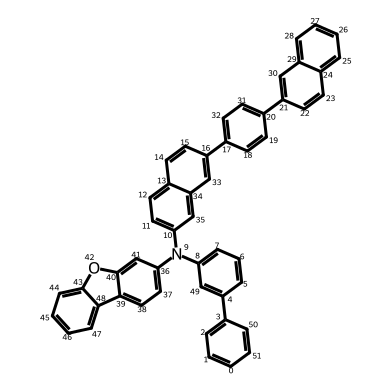 c1ccc(-c2cccc(N(c3ccc4ccc(-c5ccc(-c6ccc7ccccc7c6)cc5)cc4c3)c3ccc4c(c3)oc3ccccc34)c2)cc1